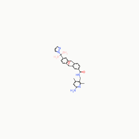 BC(B)(c1ccc2c(c1)C1OC2c2cc(C(=O)NCc3c(C)cc(N)nc3C)ccc21)n1cccn1